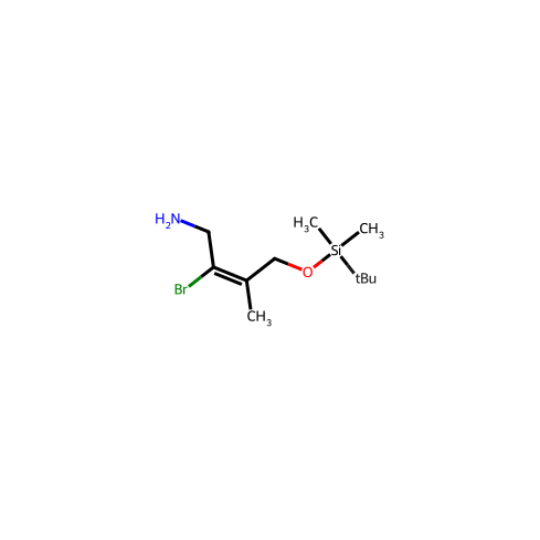 C/C(CO[Si](C)(C)C(C)(C)C)=C(\Br)CN